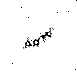 Cn1cc(C(=O)Nc2ccc(Cc3cc(F)cc(Cl)c3)cn2)cn1